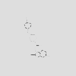 O=C(Cn1c(=O)oc2cc(Cl)ccc21)N1CCC(O)(Cc2ccc(F)cc2)CC1